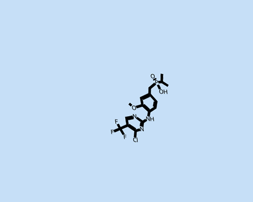 COc1cc(CP(=O)(O)C(C)C)ccc1Nc1ncc(C(F)(F)F)c(Cl)n1